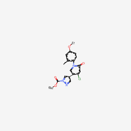 CCOc1ccc(-n2cc(-c3cnn(C(=O)OC(C)(C)C)c3)c(Cl)cc2=O)c(C)c1